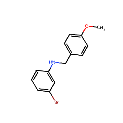 COc1ccc(CNc2[c]ccc(Br)c2)cc1